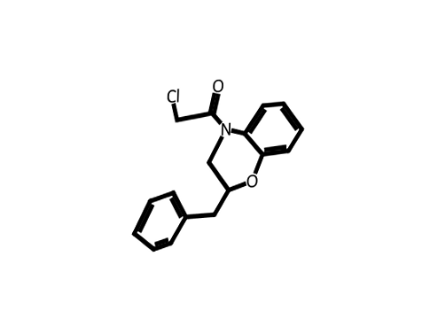 O=C(CCl)N1CC(Cc2ccccc2)Oc2ccccc21